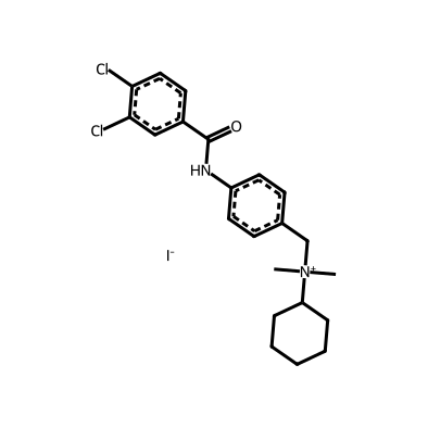 C[N+](C)(Cc1ccc(NC(=O)c2ccc(Cl)c(Cl)c2)cc1)C1CCCCC1.[I-]